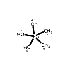 CP(C)(O)(O)O